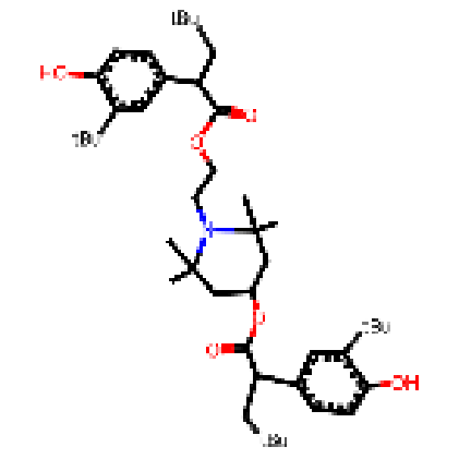 CC(C)(C)CC(C(=O)OCCN1C(C)(C)CC(OC(=O)C(CC(C)(C)C)c2ccc(O)c(C(C)(C)C)c2)CC1(C)C)c1ccc(O)c(C(C)(C)C)c1